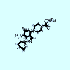 CC(C)(C)OC(=O)N1CCN(c2cc(F)c(N)c3c2cnn3C2CCCCO2)CC1